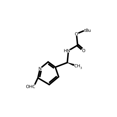 C[C@H](NC(=O)OC(C)(C)C)c1ccc(C=O)nc1